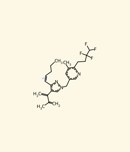 C=C(C)C(=C)c1cn(Cc2cnc(CCC(F)(F)C(F)F)c(C)c2)nc1/C=C\CCC